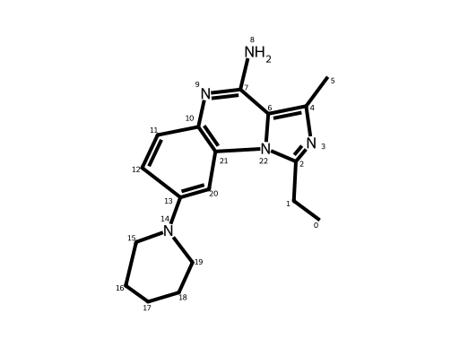 CCc1nc(C)c2c(N)nc3ccc(N4CCCCC4)cc3n12